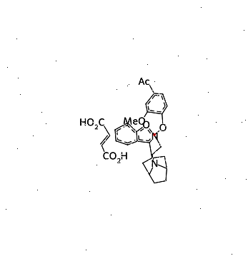 COc1cc(C(C)=O)ccc1OCCCN1C2CCC1CC(c1noc3ccccc13)C2.O=C(O)C=CC(=O)O